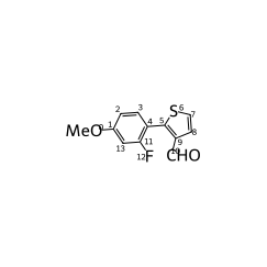 COc1ccc(-c2sccc2C=O)c(F)c1